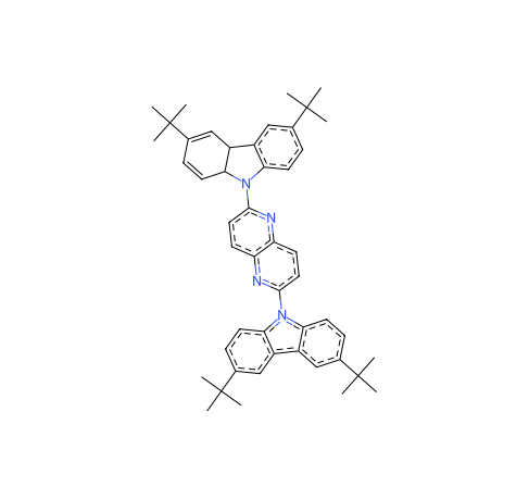 CC(C)(C)C1=CC2c3cc(C(C)(C)C)ccc3N(c3ccc4nc(-n5c6ccc(C(C)(C)C)cc6c6cc(C(C)(C)C)ccc65)ccc4n3)C2C=C1